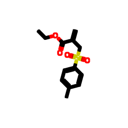 C=C(CS(=O)(=O)c1ccc(C)cc1)C(=O)OCC